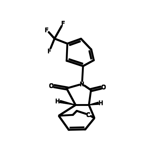 O=C1[C@@H]2C3C=CC(CCC3)[C@@H]2C(=O)N1c1cccc(C(F)(F)F)c1